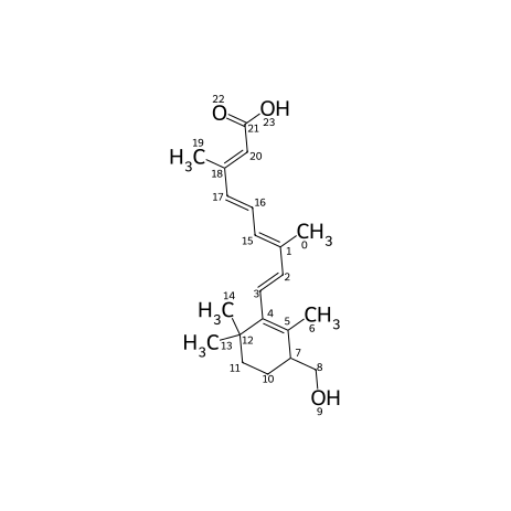 CC(C=CC1=C(C)C(CO)CCC1(C)C)=CC=CC(C)=CC(=O)O